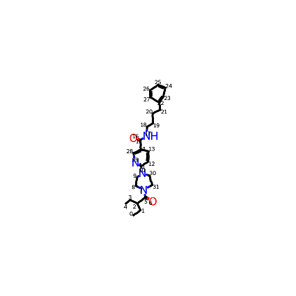 CCC(CC)C(=O)N1CCN(c2ccc(C(=O)NCCCCc3ccccc3)cn2)CC1